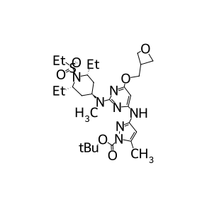 CC[C@@H]1C[C@@H](N(C)c2nc(Nc3cc(C)n(C(=O)OC(C)(C)C)n3)cc(OCC3COC3)n2)C[C@H](CC)N1S(=O)(=O)CC